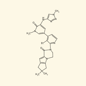 CCc1c(-c2cc(Nc3cn(C)nn3)c(=O)n(C)c2)ccnc1N1CCn2c(cc3c2CC(C)(C)C3)C1=O